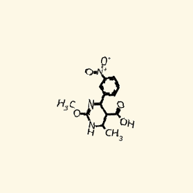 COC1=NC(c2cccc([N+](=O)[O-])c2)C(C(=O)O)C(C)N1